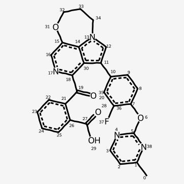 Cc1ccnc(Oc2ccc(-c3cn4c5c(cnc(C(=O)c6ccccc6C(=O)O)c35)OCCC4)cc2F)n1